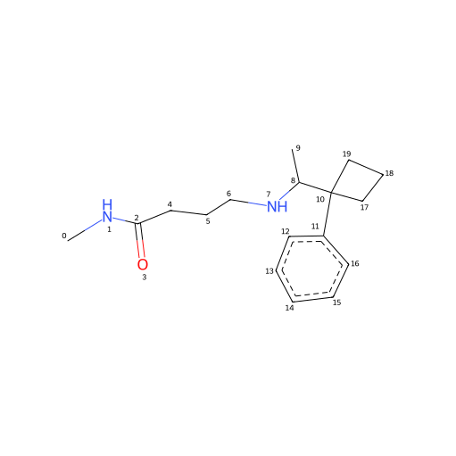 CNC(=O)CCCNC(C)C1(c2ccccc2)CCC1